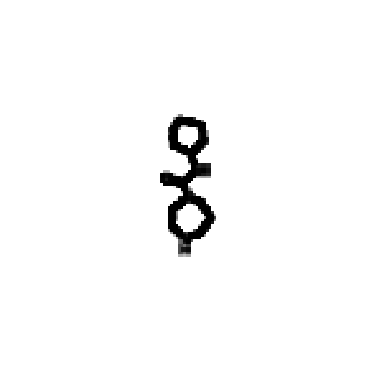 O=C(NC1CCCCC1)N1CCCNCC1